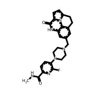 CNC(=O)c1ccc(N2CCN(Cc3cc4c5c(c3)[nH]c(=O)c3ccc(n35)CC4)CC2)c(F)n1